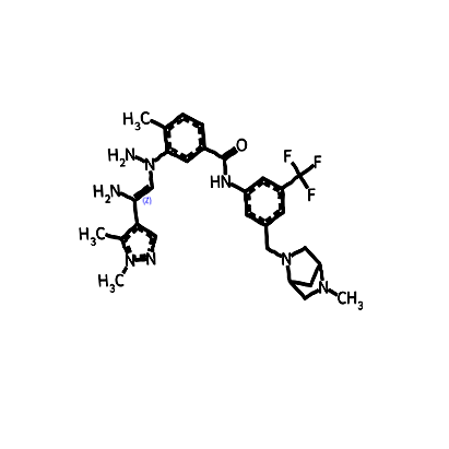 Cc1ccc(C(=O)Nc2cc(CN3CC4CC3CN4C)cc(C(F)(F)F)c2)cc1N(N)/C=C(\N)c1cnn(C)c1C